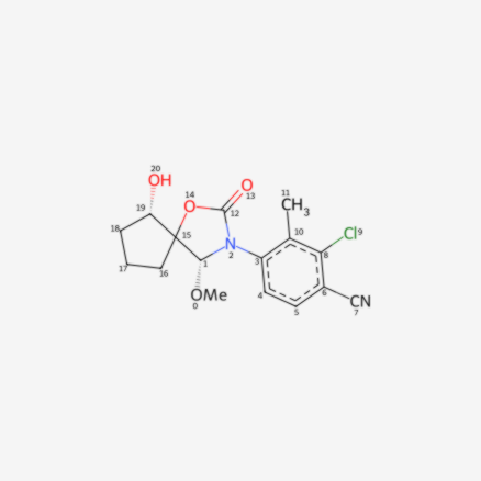 CO[C@H]1N(c2ccc(C#N)c(Cl)c2C)C(=O)OC12CCC[C@@H]2O